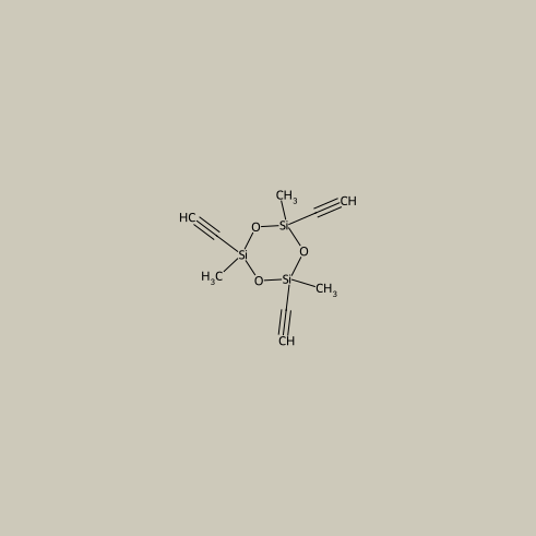 C#C[Si]1(C)O[Si](C)(C#C)O[Si](C)(C#C)O1